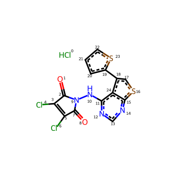 Cl.O=C1C(Cl)=C(Cl)C(=O)N1Nc1ncnc2scc(-c3cccs3)c12